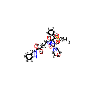 CS(=O)(=O)[C@H](c1ccccc1)C(CC(=O)N1CCOCC1)C(=O)NCCCC(=O)C(=O)NCc1ccccc1